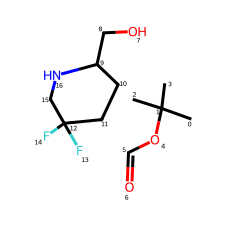 CC(C)(C)OC=O.OCC1CCC(F)(F)CN1